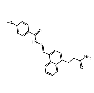 NC(=O)CCc1ccc(C=NNC(=O)c2ccc(O)cc2)c2ccccc12